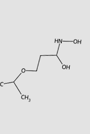 CC(C)OCCC(O)NO